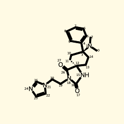 CN(C)[C@]1(c2ccccc2)CC[C@]2(CC1)NC(=O)N(CCn1ccnc1)C2=O